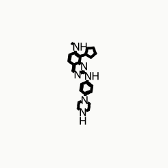 CNc1ccc2cnc(Nc3ccc(N4CCNCC4)cc3)nc2c1C1CCCC1